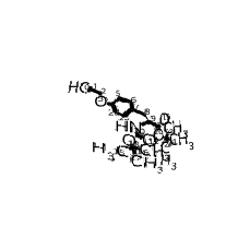 C#CCOc1ccc(C[C@H](NC(=O)OC(C)(C)C)C(=O)OC(C)(C)C)cc1